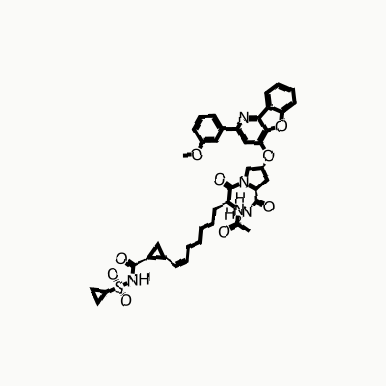 COc1cccc(-c2cc(O[C@@H]3C[C@@H](C(N)=O)N(C(=O)[C@H](CCCCC/C=C\[C@@H]4C[C@@H]4C(=O)NS(=O)(=O)C4CC4)NC(C)=O)C3)c3oc4ccccc4c3n2)c1